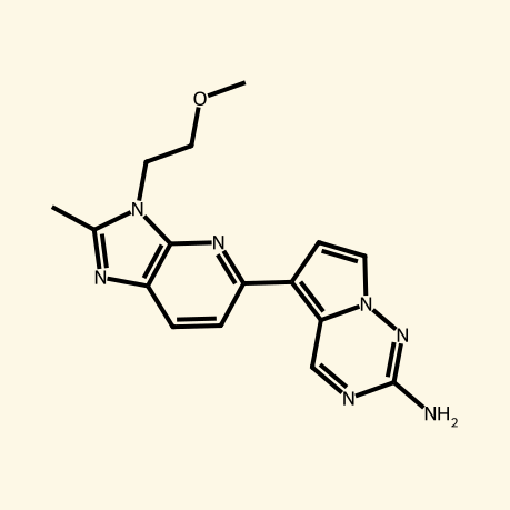 COCCn1c(C)nc2ccc(-c3ccn4nc(N)ncc34)nc21